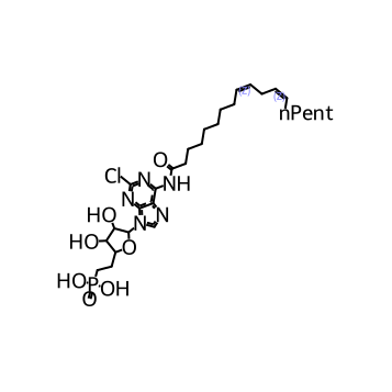 CCCCC/C=C\C/C=C\CCCCCCCC(=O)Nc1nc(Cl)nc2c1ncn2C1OC(CCP(=O)(O)O)C(O)C1O